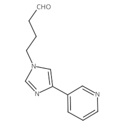 O=CCCCn1cnc(-c2cccnc2)c1